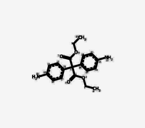 CCOC(=O)C(C(=O)OCC)(c1ccc(N)cc1)c1ccc(N)cc1